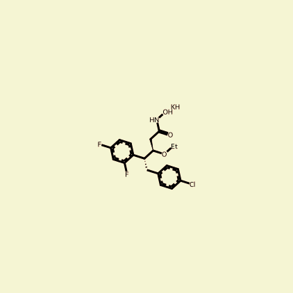 CCO[C@H](CC(=O)NO)[C@H](Cc1ccc(Cl)cc1)c1ccc(F)cc1F.[KH]